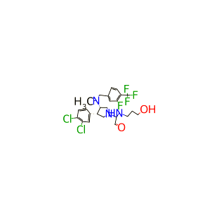 CN(Cc1ccc(C(F)(F)F)c(F)c1)[C@@H]1CN(C(C=O)NCCCO)C[C@@H]1c1ccc(Cl)c(Cl)c1